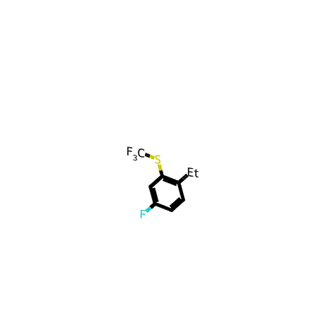 [CH2]Cc1ccc(F)cc1SC(F)(F)F